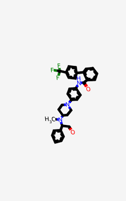 CN(C1CCN(c2ccc(NC(=O)c3ccccc3-c3ccc(C(F)(F)F)cc3)cc2)CC1)C(C=O)c1ccccc1